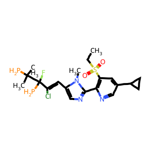 CCS(=O)(=O)c1cc(C2CC2)cnc1-c1ncc(/C=C(\Cl)C(F)(P)C(C)(C)P)n1C